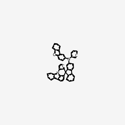 c1ccc(N(c2ccc3c(c2)C2(c4ccccc4-3)c3ccccc3-n3c4ccccc4c4cccc2c43)c2ccc3oc4ccccc4c3c2)cc1